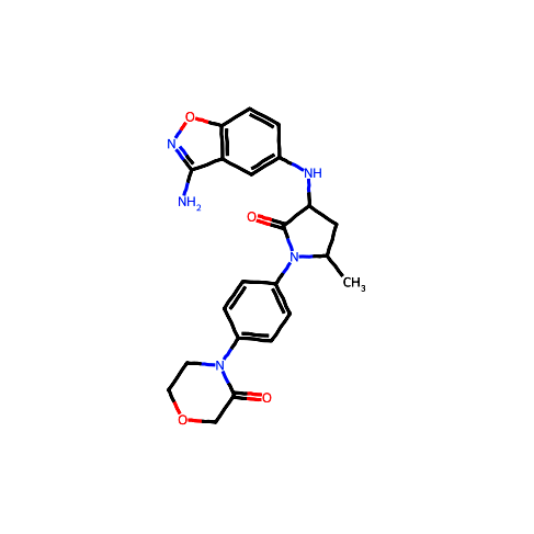 CC1CC(Nc2ccc3onc(N)c3c2)C(=O)N1c1ccc(N2CCOCC2=O)cc1